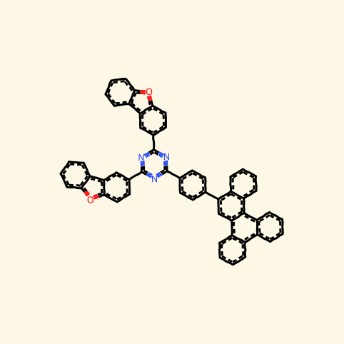 c1ccc2c(c1)oc1ccc(-c3nc(-c4ccc(-c5cc6c7ccccc7c7ccccc7c6c6ccccc56)cc4)nc(-c4ccc5oc6ccccc6c5c4)n3)cc12